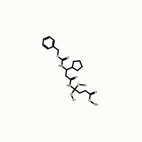 CCOC(CCC(=O)OC(C)(C)C)(NC(=O)CC(NC(=O)OCc1ccccc1)C1CCCC1)OCC